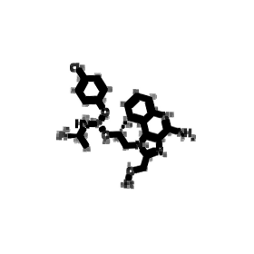 CCOCc1nc2c(N)nc3ccccc3c2n1C[C@@H](C)OP(N[C@@H](C)C(C)C)Oc1ccc(Cl)cc1